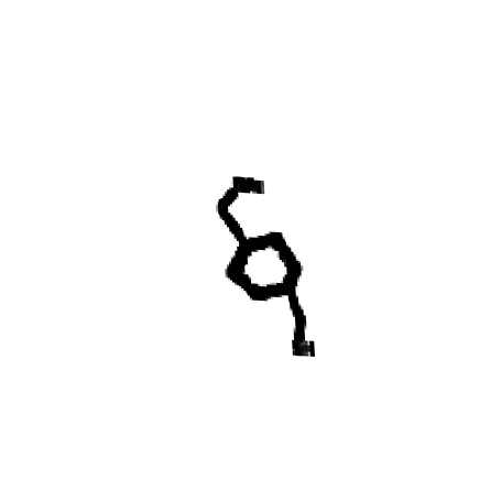 CC(=O)OCc1ccc(CS)cc1